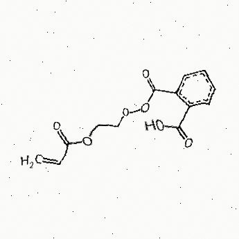 C=CC(=O)OCCOOC(=O)c1ccccc1C(=O)O